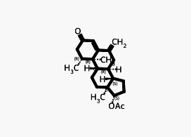 C=C1C[C@H]2[C@@H]3CC[C@H](OC(C)=O)[C@@]3(C)CC[C@@H]2[C@]2(C)C1=CC(=O)C[C@H]2C